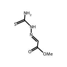 COC(=O)C=NNC(N)=S